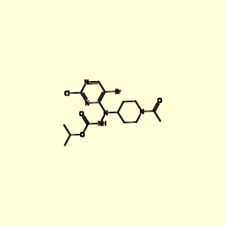 CC(=O)N1CCC(N(NC(=O)OC(C)C)c2nc(Cl)ncc2Br)CC1